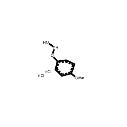 COc1ccc(OPO)cc1.Cl.Cl